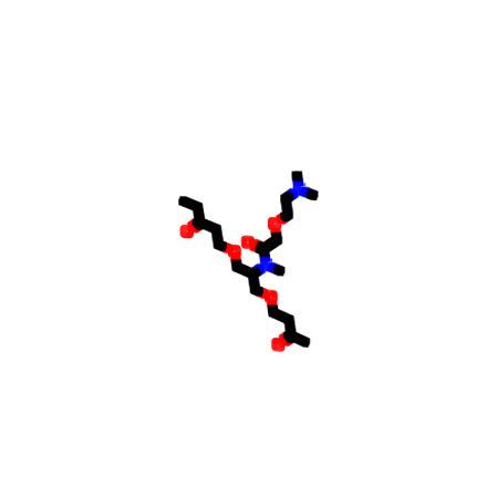 CCC(=O)CCOCC(COCCC(C)=O)N(C)C(=O)COCCN(C)C